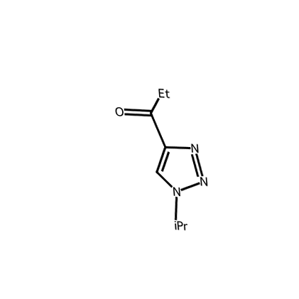 CCC(=O)c1cn(C(C)C)nn1